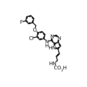 O=C(O)NCC=Cc1cc2ncnc(Nc3ccc(OCc4cccc(F)c4)c(Cl)c3)c2[nH]1